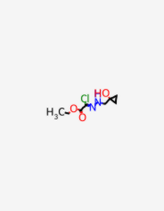 CCOC(=O)C(Cl)=NNCC1(O)CC1